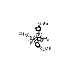 COc1ccc(COc2nc(N(N)[C@H](C)CC=O)nc(Nc3cccc(OC)c3)c2C(N)=O)cc1